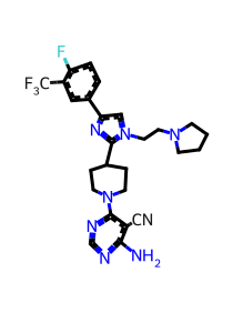 N#Cc1c(N)ncnc1N1CCC(c2nc(-c3ccc(F)c(C(F)(F)F)c3)cn2CCN2CCCC2)CC1